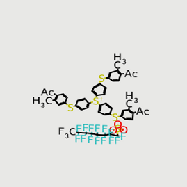 CC(=O)c1ccc(Sc2ccc([S+](c3ccc(Sc4ccc(C(C)=O)c(C)c4)cc3)c3ccc(Sc4ccc(C(C)=O)c(C)c4)cc3)cc2)cc1C.O=S(=O)([O-])C(F)(F)C(F)(F)C(F)(F)C(F)(F)C(F)(F)C(F)(F)C(F)(F)C(F)(F)F